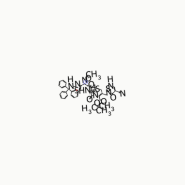 CO/N=C(\C(=O)N[C@@H]1C(=O)N2C(C(=O)OC(C)(C)C)=C(CN3SNC=C(C#N)C3=O)CS[C@H]12)c1csc(NC(c2ccccc2)(c2ccccc2)c2ccccc2)n1